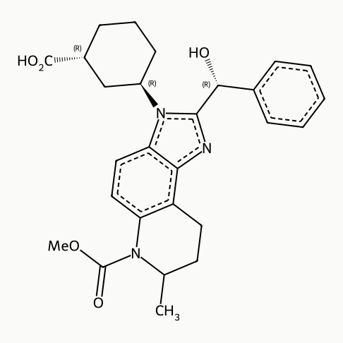 COC(=O)N1c2ccc3c(nc([C@H](O)c4ccccc4)n3[C@@H]3CCC[C@@H](C(=O)O)C3)c2CCC1C